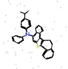 CC(C)c1ccc(N(c2ccccc2)c2cc3sc4c5ccccc5ccc4c3c3ccccc23)cc1